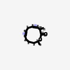 CC1CCC/C=C\C/C=C\C(C)C(=O)O1